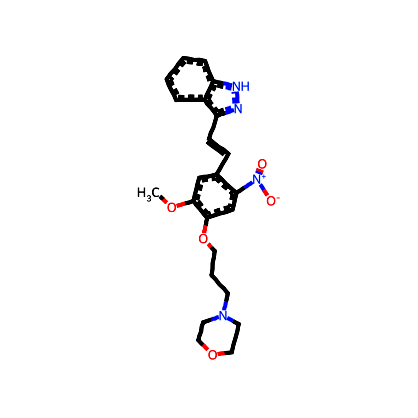 COc1cc(/C=C/c2n[nH]c3ccccc23)c([N+](=O)[O-])cc1OCCCN1CCOCC1